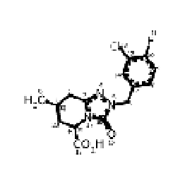 C[C@H]1Cc2nn(Cc3ccc(F)c(Cl)c3)c(=O)n2[C@@H](C(=O)O)C1